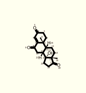 C[C@]12CCC(=O)C=C1C(=O)C[C@@H]1[C@H]2CC[C@]2(C)C(=O)CC[C@@]12O